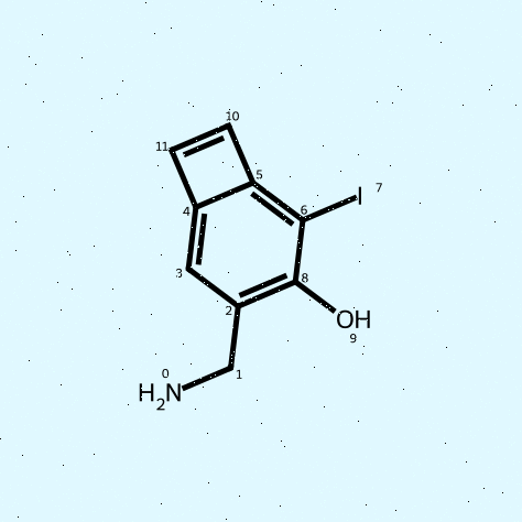 NCc1cc2c(c(I)c1O)C=C2